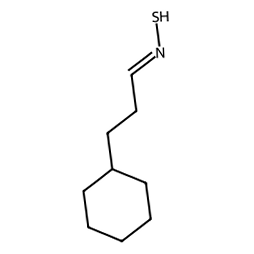 S/N=C/CCC1CCCCC1